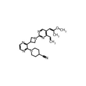 C=Cc1nc(N2CC(c3nccnc3N3CCC(C#N)CC3)C2)ncc1/C=C(\C)OC